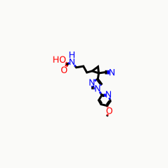 COc1ccc(-n2cnc(C3(C#N)CC3CCCNC(=O)O)c2)nc1